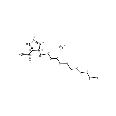 CCCCCCCCCCCCn1nnnc1C(=O)[O-].[Ag+]